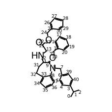 CC(C)c1ccc(CN2C(=O)C(N[C@@H](Cc3ccccc3)C(=O)OCc3ccccc3)CCc3ccccc32)cc1